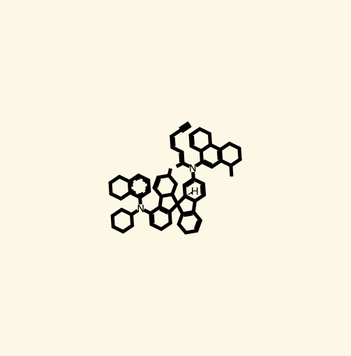 C#C/C=C\C=C(/C)N(C1=C[C@H]2C(C=C1)C1=C(CCC=C1)C21C2=C(C(N(c3cccc4c3CCCC4)C3CCCCC3)=CCC2)C2C=CC(C)CC21)C1=CC2=C(CCCC2C)C2CCC=CC12